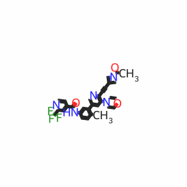 CC(=O)N1CC(C#Cc2ncc(-c3cc(NC(=O)c4ccnc(C(F)(F)F)c4)ccc3C)cc2N2CCOCC2)C1